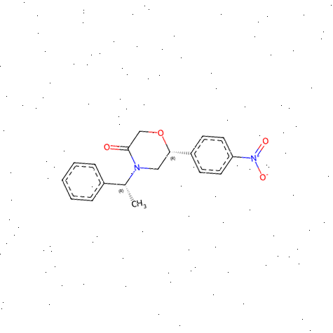 C[C@H](c1ccccc1)N1C[C@@H](c2ccc([N+](=O)[O-])cc2)OCC1=O